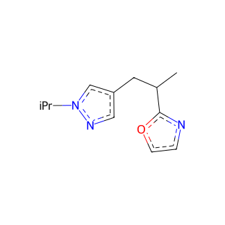 CC(Cc1cnn(C(C)C)c1)c1ncco1